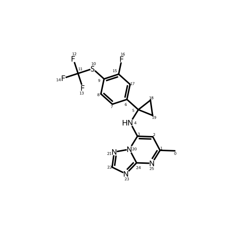 Cc1cc(NC2(c3ccc(SC(F)(F)F)c(F)c3)CC2)n2ncnc2n1